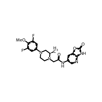 COc1c(F)cc(N2CCN(CC(=O)Nc3cnc4[nH]c(=O)oc4c3)[C@H](C)C2)cc1F